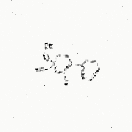 CCCC1(OCC)C=CC(c2ccccc2)=C(F)C1